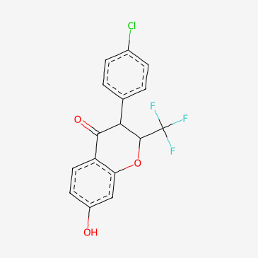 O=C1c2ccc(O)cc2OC(C(F)(F)F)C1c1ccc(Cl)cc1